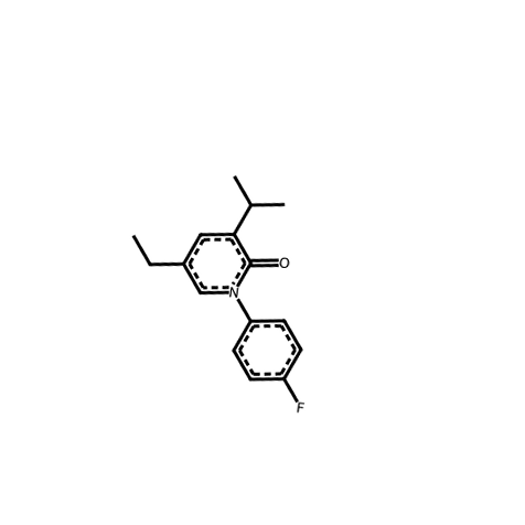 CCc1cc(C(C)C)c(=O)n(-c2ccc(F)cc2)c1